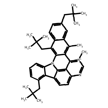 Cc1c2cc(CC(C)(C)C)ccc2c(CC(C)(C)C)c2c1c1c3c(ccc4c5c(CC(C)(C)C)cccc5n2c43)nc[n+]1C